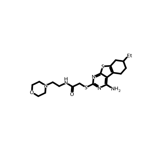 CCC1CCc2c(sc3nc(SCC(=O)NCCN4CCOCC4)nc(N)c23)C1